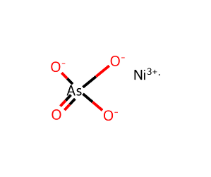 O=[As]([O-])([O-])[O-].[Ni+3]